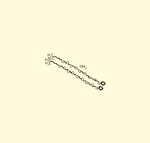 CC(C)CCCCCOCCOCCOCCOCCOCCOCCOCCOCCOc1ccccc1.CC(C)CCCCCOCCOCCOCCOCCOCCOCCOCCOCCOc1ccccc1.O